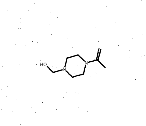 C=C(C)N1CCN(CO)CC1